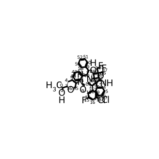 C[C@@H](O)[C@@H]1CC[C@@H](NC(=O)[C@H]2[C@H](c3cc(F)cc(Cl)c3)C3(C(=O)Nc4cc(Cl)ccc43)C3(CC(CF)(CF)C3)N2[C@H](c2ccccc2)[C@@H](O)c2ccccc2)CO1